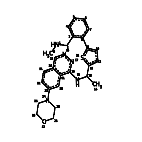 CNCc1ccccc1-c1ccc(C(C)Nc2nncc3ccc(N4CCOCC4)cc23)s1